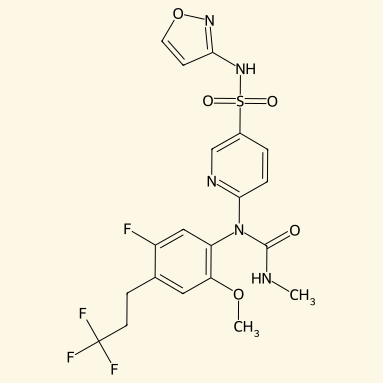 CNC(=O)N(c1ccc(S(=O)(=O)Nc2ccon2)cn1)c1cc(F)c(CCC(F)(F)F)cc1OC